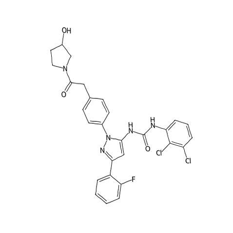 O=C(Nc1cccc(Cl)c1Cl)Nc1cc(-c2ccccc2F)nn1-c1ccc(CC(=O)N2CCC(O)C2)cc1